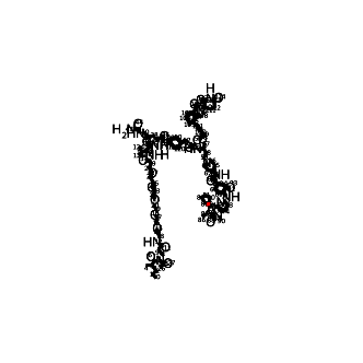 CCCC(C)C(=O)N(CCC(=O)NCCOCCOCCOCCOCCOCCC(=O)N[C@H](C(=O)N[C@@H](CCCNC(N)=O)C(=O)Nc1ccc(COC(=O)NC(CCN2CCC(NC(=O)c3ccc(Nc4ccc5c(n4)N(C4CCCC4)[C@H](CC)C(=O)N5C)c(OC)c3)CC2)COCC#Cc2cccc3c2CN(C2CCC(=O)NC2=O)C3=O)cc1)C(C)C)C(C)=O